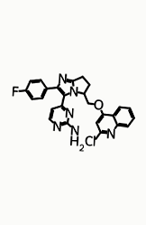 Nc1nccc(-c2c(-c3ccc(F)cc3)nc3n2C(COc2cc(Cl)nc4ccccc24)CC3)n1